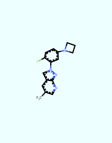 Fc1ccc(N2CCC2)cc1-n1cc2cc(C(F)(F)F)cnc2n1